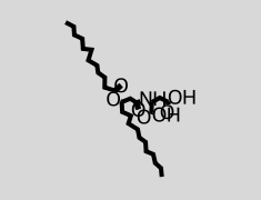 CCCCCCCCCCCC(=O)OC(CCCCCCCCCCC)CC(=O)NC(CC(=O)O)C(=O)O